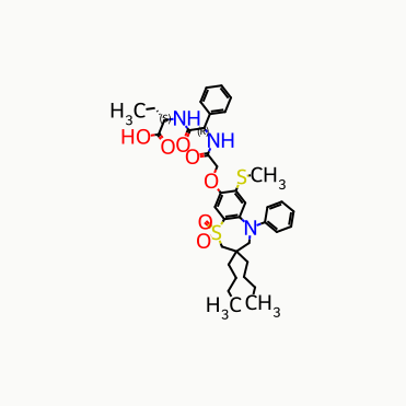 CCCCC1(CCCC)CN(c2ccccc2)c2cc(SC)c(OCC(=O)N[C@@H](C(=O)N[C@@H](CC)C(=O)O)c3ccccc3)cc2S(=O)(=O)C1